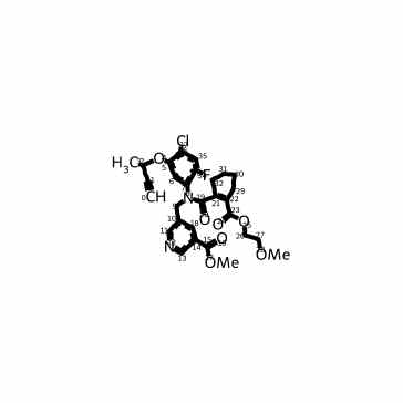 C#CC(C)Oc1cc(N(Cc2cncc(C(=O)OC)c2)C(=O)C2=C(C(=O)OCCOC)CCCC2)c(F)cc1Cl